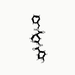 O=C(NCc1ccccc1)c1ccnc(NC(=O)c2ccc(F)cc2)c1